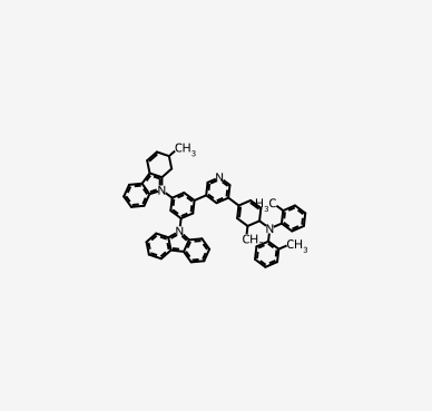 Cc1ccccc1N(c1ccccc1C)C1C=CC(c2cncc(-c3cc(-n4c5c(c6ccccc64)C=CC(C)C5)cc(-n4c5ccccc5c5ccccc54)c3)c2)=CC1C